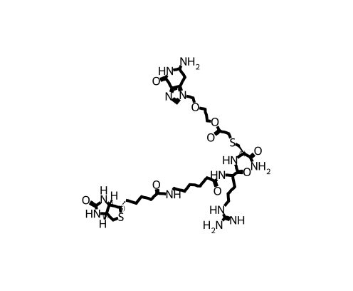 N=C(N)NCCCC(NC(=O)CCCCCNC(=O)CCCC[C@@H]1SC[C@@H]2NC(=O)N[C@@H]21)C(=O)N[C@@H](CSCC(=O)OCCOCn1cnc2c1CC(N)NC2=O)C(N)=O